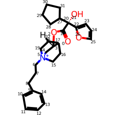 O=C(O[C@H]1C[N+]2(CCCc3ccccc3)CCC1CC2)[C@](O)(c1ccco1)C1CCCC1